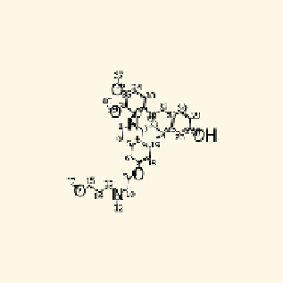 CCN(Cc1ccc(OCCN(C)CCCOC)cc1)c1c([C@@H]2CCc3cc(O)ccc3C2)ccc(OC)c1OC